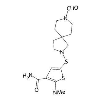 CNc1sc(SN2CCC3(CCN(C=O)CC3)C2)cc1C(N)=O